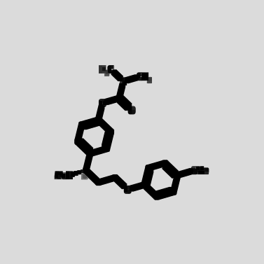 CN[C@@H](CCOc1ccc(SC)cc1)c1ccc(OC(=O)N(C)C)cc1